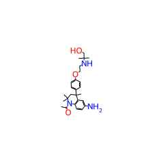 CC(=O)N1c2ccc(N)cc2C(C)(c2ccc(OCCNC(C)(C)CO)cc2)CC1(C)C